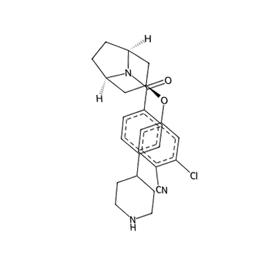 N#Cc1ccc(O[C@H]2C[C@H]3CC[C@@H](C2)N3C(=O)c2ccc(C3CCNCC3)cc2)cc1Cl